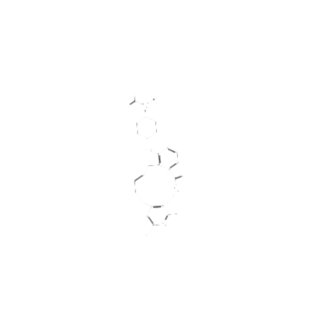 COc1nc(C)cc2c1CNC(=O)c1cccc(O[C@H]3CC[C@H](N(C(=O)O)C(C)(C)C)CC3)c1C/C=C/CC2